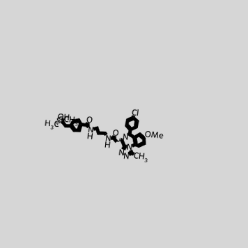 COc1ccc2c(c1)C(c1ccc(Cl)cc1)=N[C@@H](CC(=O)NCCCNC(=O)c1ccc(C[Si](C)(C)O)cc1)c1nnc(C)n1-2